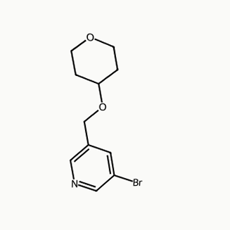 Brc1cncc(COC2CCOCC2)c1